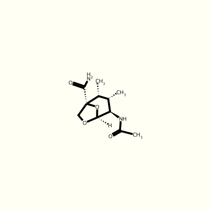 CC(=O)N[C@H]1[C@H]2OC[C@](C(N)=O)(O2)[C@H](C)[C@@H]1C